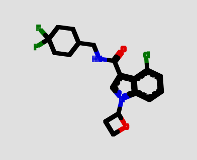 O=C(NCC1CCC(F)(F)CC1)c1cn(C2CCO2)c2cccc(Cl)c12